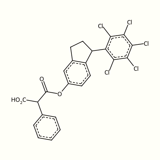 O=C(O)C(C(=O)Oc1ccc2c(c1)CCC2c1c(Cl)c(Cl)c(Cl)c(Cl)c1Cl)c1ccccc1